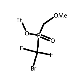 CCOP(=O)(COC)C(F)(F)Br